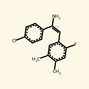 Cc1cc(F)c(/C=C(/N)c2ccc(Cl)cc2)cc1C